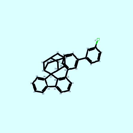 Clc1cccc(-c2cccc(-c3cccc4c3C3(c5ccccc5-4)C4CC5CC(C4)CC3C5)c2)c1